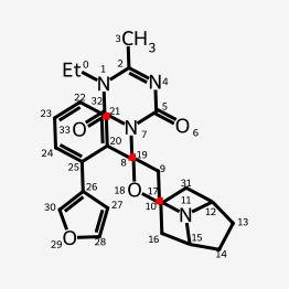 CCn1c(C)nc(=O)n(CCCN2C3CCC2CC(OCc2ccccc2-c2ccoc2)C3)c1=O